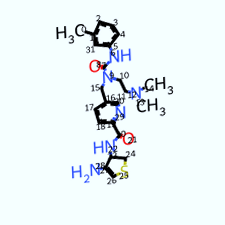 Cc1cccc(NC(=O)N(CCN(C)C)Cc2ccc(C(=O)NC3CSC=C3N)nc2)c1